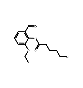 CCOc1cccc(C=O)c1OC(=O)CCCCCl